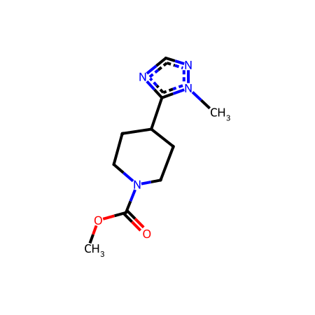 COC(=O)N1CCC(c2ncnn2C)CC1